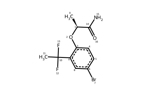 C[C@H](Oc1ccc(Br)cc1C(C)(F)F)C(N)=O